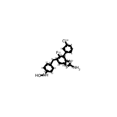 Nc1nc2c(-c3cccc(Cl)c3)c(F)c(Cc3ccc(NO)cc3)cc2s1